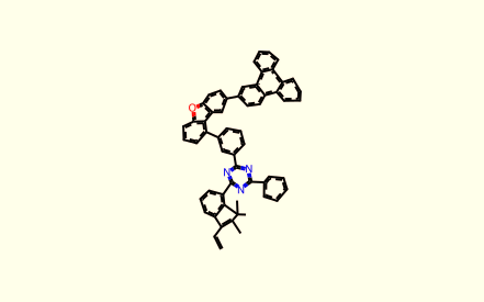 C=CC1=C(C)C(C)(C)c2c1cccc2-c1nc(-c2ccccc2)nc(-c2cccc(-c3cccc4oc5ccc(-c6ccc7c8ccccc8c8ccccc8c7c6)cc5c34)c2)n1